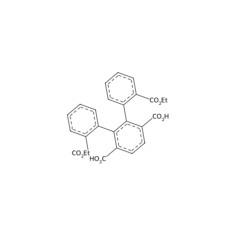 CCOC(=O)c1ccccc1-c1c(C(=O)O)ccc(C(=O)O)c1-c1ccccc1C(=O)OCC